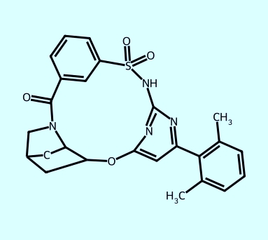 Cc1cccc(C)c1-c1cc2nc(n1)NS(=O)(=O)c1cccc(c1)C(=O)N1CC3CC(O2)C1C3